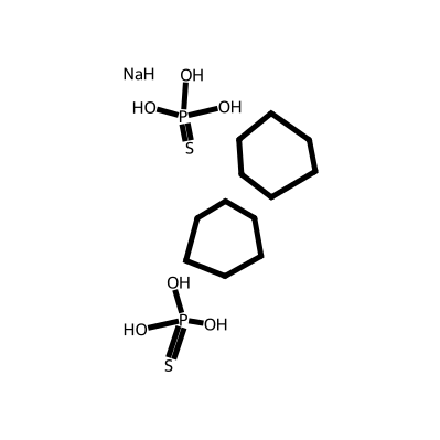 C1CCCCC1.C1CCCCC1.OP(O)(O)=S.OP(O)(O)=S.[NaH]